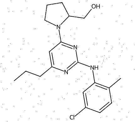 CCCc1cc(N2CCCC2CO)nc(Nc2cc(Cl)ccc2C)n1